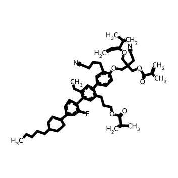 C=C=C(OCC(CC#N)(COC(=O)C(=C)C)COc1ccc(-c2cc(CC)c(-c3ccc(C4CCC(CCCCC)CC4)cc3F)cc2CCCOC(=O)C(=C)C)cc1CCCC#N)C(=C)C